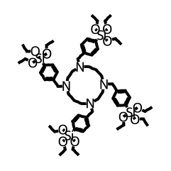 CCO[Si](OCC)(OCC)c1ccc(CN2CCCN(Cc3ccc([Si](OCC)(OCC)OCC)cc3)CCN(Cc3ccc([Si](OCC)(OCC)OCC)cc3)CCCN(Cc3ccc([Si](OCC)(OCC)OCC)cc3)CC2)cc1